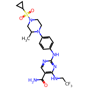 CC1CN(S(=O)(=O)C2CC2)CCN1c1ccc(Nc2ncc(C(N)=O)c(NCC(F)(F)F)n2)cc1